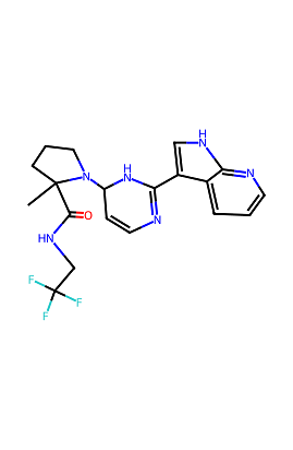 CC1(C(=O)NCC(F)(F)F)CCCN1C1C=CN=C(c2c[nH]c3ncccc23)N1